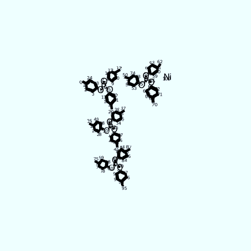 Cc1ccc(OP(Oc2ccc(C)cc2)Oc2ccc(C)cc2)cc1.Cc1ccc(OP(Oc2ccc(C)cc2)Oc2ccc(C)cc2)cc1.Cc1ccc(OP(Oc2ccc(C)cc2)Oc2ccc(C)cc2)cc1.Cc1ccc(OP(Oc2ccc(C)cc2)Oc2ccc(C)cc2)cc1.[Ni]